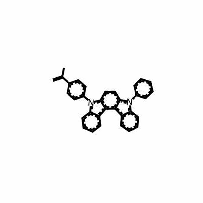 C=C(C)c1ccc(-n2c3ccccc3c3c4c5ccccc5n(-c5ccccc5)c4ccc32)cc1